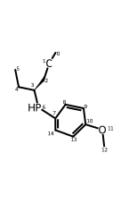 CCC[C@H](CC)Pc1ccc(OC)cc1